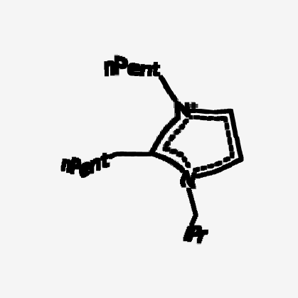 CCCCCc1n(C(C)C)cc[n+]1CCCCC